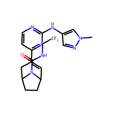 Cn1cc(Nc2nccc(C3=CC4CCC(C3)N4C(=O)NCC(F)(F)F)n2)cn1